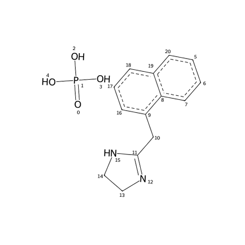 O=P(O)(O)O.c1ccc2c(CC3=NCCN3)cccc2c1